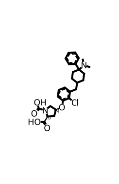 CN(C)C1(c2ccccc2)CCC(Cc2cccc(O[C@H]3C[C@@H](C(=O)O)N(C(=O)O)C3)c2Cl)CC1